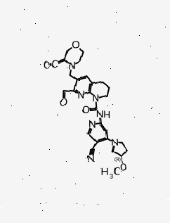 CO[C@@H]1CCN(c2cc(NC(=O)N3CCCc4cc(CN5CCOCC5=C=O)c(C=O)nc43)ncc2C#N)C1